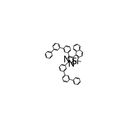 C[Si]1(C)c2ccc3ccccc3c2-c2c(-c3cccc(-c4cccc(-c5ccccc5)c4)c3)nc(-c3cccc(-c4cccc(-c5ccccc5)c4)c3)nc21